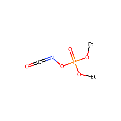 CCOP(=O)(OCC)ON=C=O